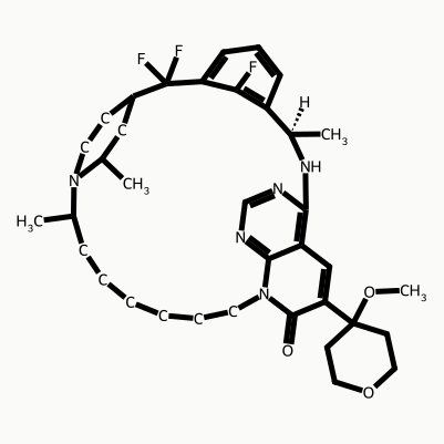 COC1(c2cc3c4ncnc3n(c2=O)CCCCCCC(C)N2CCC(CC2C)C(F)(F)c2cccc(c2F)[C@@H](C)N4)CCOCC1